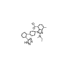 CCN(C)c1nc2c(C)ccc(C(=O)OC)c2n1-c1ccc(-c2ccccc2-c2nnn[nH]2)cc1